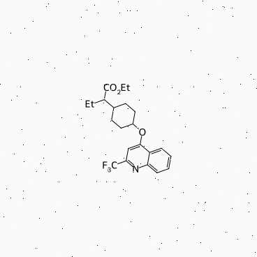 CCOC(=O)C(CC)C1CCC(Oc2cc(C(F)(F)F)nc3ccccc23)CC1